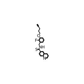 C#CCCCOc1cccc(CNC(=S)c2ccc3ncccc3c2)c1F